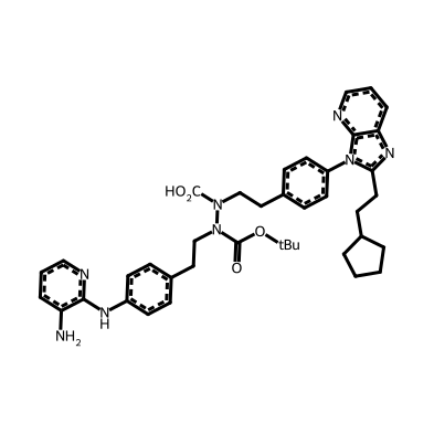 CC(C)(C)OC(=O)N(CCc1ccc(Nc2ncccc2N)cc1)N(CCc1ccc(-n2c(CCC3CCCC3)nc3cccnc32)cc1)C(=O)O